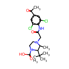 CC(=O)c1cc(Cl)c(NC(=O)CN2CCN(C(=O)O)C(C(C)(C)C)C2C)c(Cl)c1